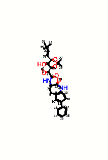 COC(C(=O)NC1CCc2cc(-c3ccccc3)ccc2NC1=O)[C@@H]1OC(C)(C)O[C@H](C=CC(C)(C)C)[C@@H]1O